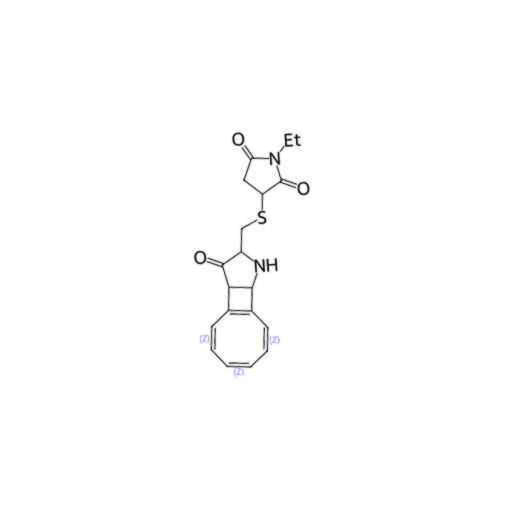 CCN1C(=O)CC(SCC2NC3C4=C(\C=C/C=C\C=C/4)C3C2=O)C1=O